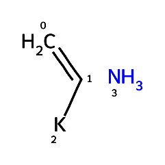 C=[CH][K].N